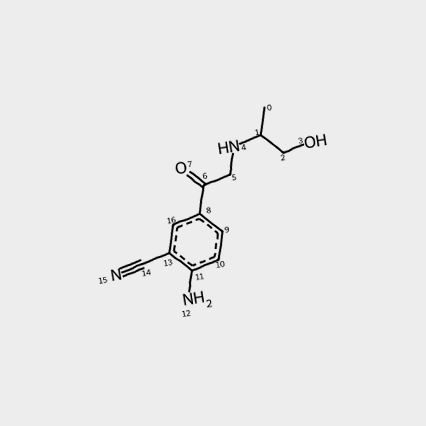 CC(CO)NCC(=O)c1ccc(N)c(C#N)c1